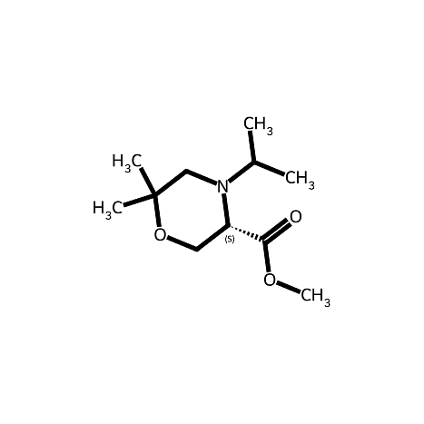 COC(=O)[C@@H]1COC(C)(C)CN1C(C)C